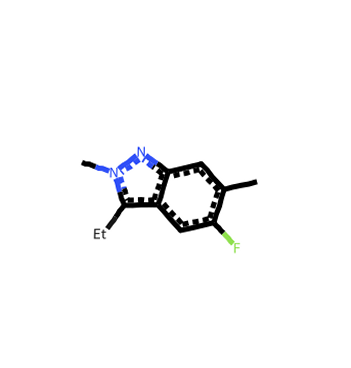 CCc1c2cc(F)c(C)cc2nn1C